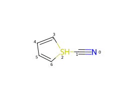 N#C[SH]1[C]=CC=C1